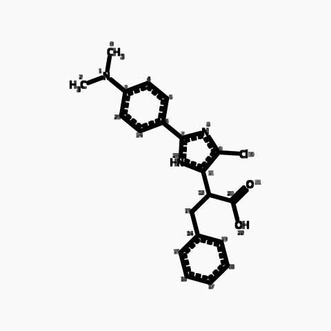 CN(C)c1ccc(-c2nc(Cl)c(C(Cc3ccccc3)C(=O)O)[nH]2)cc1